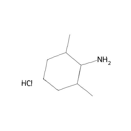 CC1CCCC(C)C1N.Cl